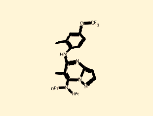 CCCN(CCC)c1c(C)c(Nc2ccc(OC(F)(F)F)cc2C)nc2ccnn12